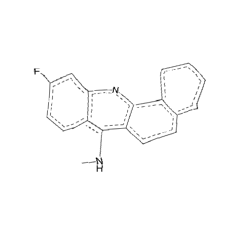 CNc1c2ccc(F)cc2nc2c1ccc1ccccc12